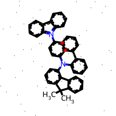 CC1(C)c2ccccc2-c2c(N(c3ccc(-n4c5ccccc5c5ccccc54)cc3)c3ccccc3-c3ccccc3)cccc21